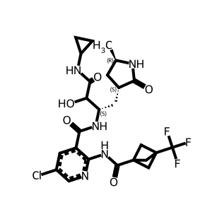 C[C@@H]1C[C@@H](C[C@H](NC(=O)c2cc(Cl)cnc2NC(=O)C23CC(C(F)(F)F)(C2)C3)C(O)C(=O)NC2CC2)C(=O)N1